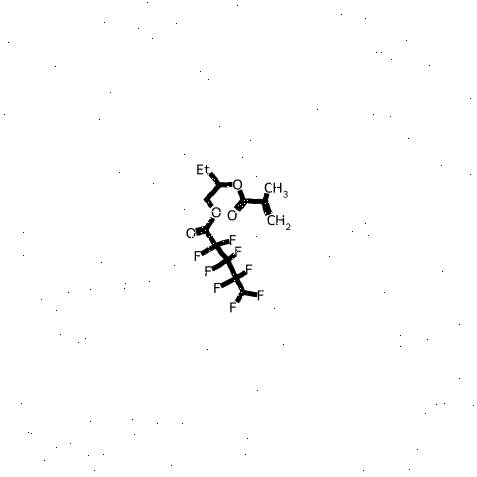 C=C(C)C(=O)OC(CC)COC(=O)C(F)(F)C(F)(F)C(F)(F)C(F)F